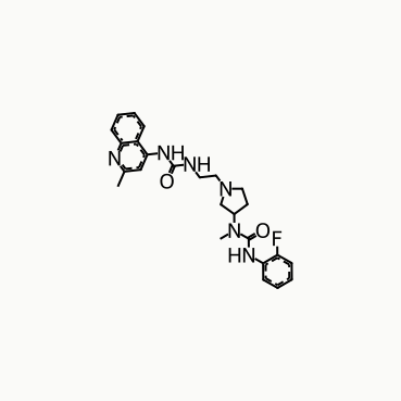 Cc1cc(NC(=O)NCCN2CCC(N(C)C(=O)Nc3ccccc3F)C2)c2ccccc2n1